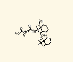 CC(C)(C)C1(OO)CCCCC1I.CC(C)(C)C1(OO)CCCCC1I.O=C(O)O.O=C(O)O